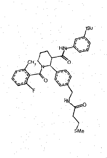 CSCCC(=O)NCc1ccc(C2C(C(=O)Nc3cccc(C(C)(C)C)c3)CCCN2C(=O)c2c(C)cccc2F)cc1